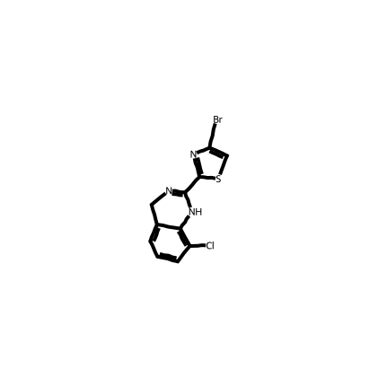 Clc1cccc2c1NC(c1nc(Br)cs1)=NC2